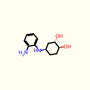 Nc1ccccc1N[C@@H]1CC[C@H](O)[C@@H](O)C1